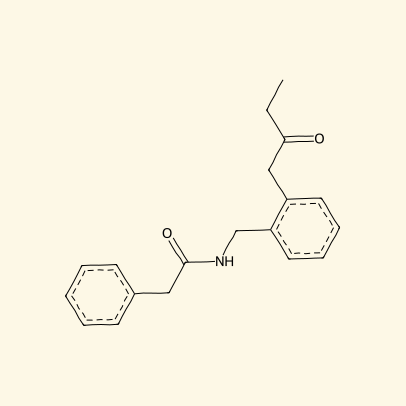 CCC(=O)Cc1ccccc1CNC(=O)Cc1ccccc1